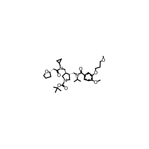 COCCCOc1cc(C(=O)N(C[C@@H]2CN(C(=O)OC(C)(C)C)C[C@H]2CN(C(=O)C[C@@H]2CCCO2)C2CC2)C(C)C)ccc1OC